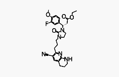 CCOC(=O)C[C@@H](c1ccc(OC)c(F)c1)N1CCN(CCCc2nc3c(cc2C#N)CCCN3)C1=O